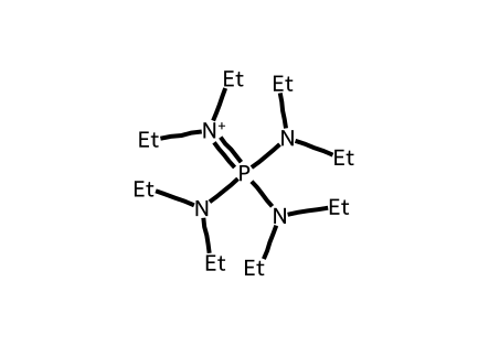 CCN(CC)P(N(CC)CC)(N(CC)CC)=[N+](CC)CC